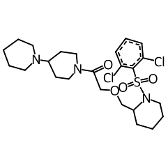 O=C(COCC1CCCCN1S(=O)(=O)c1c(Cl)cccc1Cl)N1CCC(N2CCCCC2)CC1